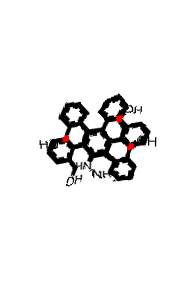 NNc1c(-c2ccccc2CO)c(-c2ccccc2CO)c(-c2ccccc2)c(-c2ccccc2CO)c1-c1ccccc1CO